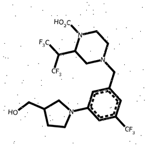 O=C(O)N1CCN(Cc2cc(N3CCC(CO)C3)cc(C(F)(F)F)c2)CC1C(C(F)(F)F)C(F)(F)F